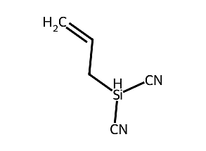 C=CC[SiH](C#N)C#N